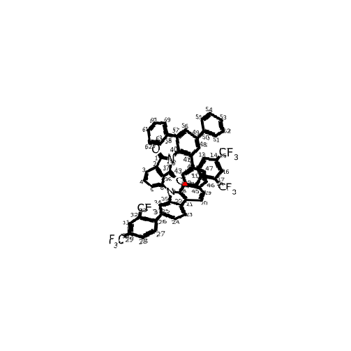 O=C1c2cccc(-n3c4cc(-c5ccc(C(F)(F)F)cc5C(F)(F)F)ccc4c4ccc(-c5ccc(C(F)(F)F)cc5C(F)(F)F)cc43)c2C(=O)N1c1c(-c2ccccc2)cc(-c2ccccc2)cc1-c1ccccc1